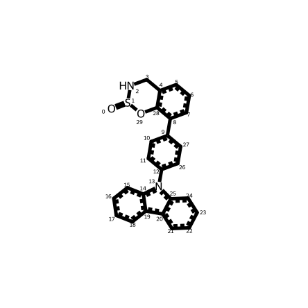 O=S1NCc2cccc(-c3ccc(-n4c5ccccc5c5ccccc54)cc3)c2O1